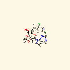 C[C@H]([C@H](O)[C@H]1O[C@@H](n2ccc3cncnc32)[C@@H]2OC(C)(C)O[C@H]12)[C@@H](C)C(Cl)/C=C/F